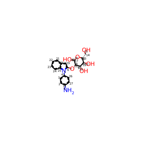 Nc1ccc(-n2c(O[C@H]3[C@@H](O)[C@H](O)[C@@H](CO)O[C@@H]3O)cc3ccccc32)cc1